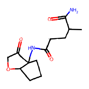 CC(C[CH]C(=O)NC12CCCC1OCC2=O)C(N)=O